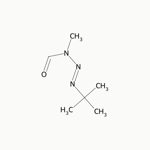 CN(C=O)N=NC(C)(C)C